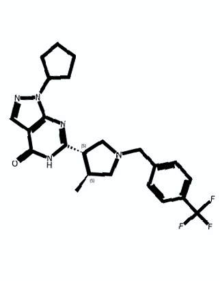 C[C@@H]1CN(Cc2ccc(C(F)(F)F)cc2)C[C@H]1c1nc2c(cnn2C2CCCC2)c(=O)[nH]1